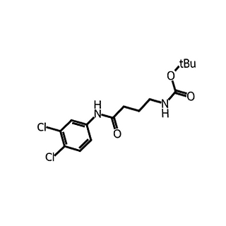 CC(C)(C)OC(=O)NCCCC(=O)Nc1ccc(Cl)c(Cl)c1